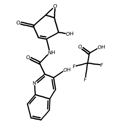 O=C(NC1=CC(=O)C2OC2C1O)c1nc2ccccc2cc1O.O=C(O)C(F)(F)F